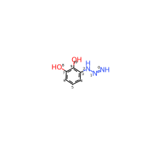 N=NNc1cccc(O)c1O